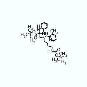 Cc1cccnc1CN(CCCCNC(=O)OC(C)(C)C)CC1(C(=O)OC(C)(C)C)Nc2ccccc2N1